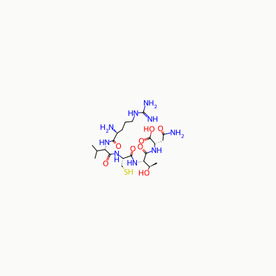 CC(C)[C@H](NC(=O)[C@@H](N)CCCNC(=N)N)C(=O)N[C@@H](CS)C(=O)N[C@H](C(=O)N[C@@H](CC(N)=O)C(=O)O)[C@@H](C)O